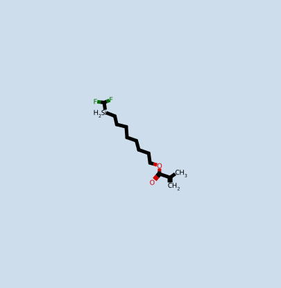 C=C(C)C(=O)OCCCCCCCC[SiH2]C(F)F